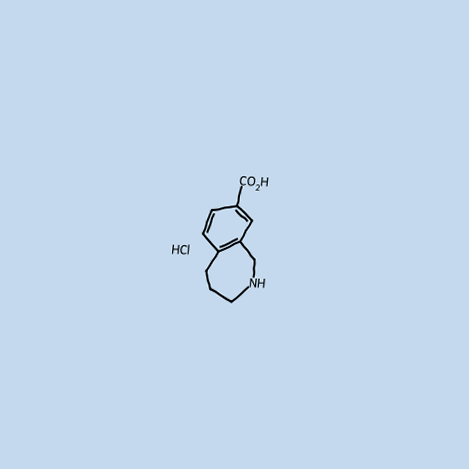 Cl.O=C(O)c1ccc2c(c1)CNCCC2